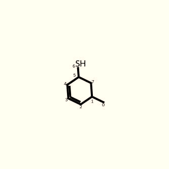 CC1C=C=CC(S)C1